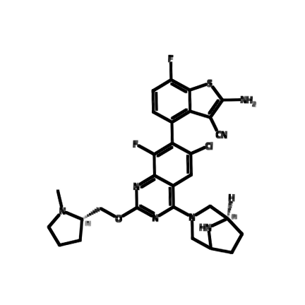 CN1CCC[C@H]1COc1nc(N2CC3CC[C@H](C2)N3)c2cc(Cl)c(-c3ccc(F)c4sc(N)c(C#N)c34)c(F)c2n1